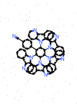 N#Cc1ccc(-c2c(-n3c4ccccc4c4ncccc43)c(-n3c4ccccc4c4ncccc43)c(-n3c4ccccc4c4ncccc43)c(-n3c4ccccc4c4ncccc43)c2-n2c3ccccc3c3ncccc32)cc1